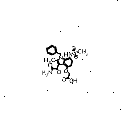 Cc1c(C(=O)C(N)=O)c2c(OCC(=O)O)ccc(NS(C)(=O)=O)c2n1Cc1ccccc1